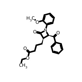 CCOC(=O)CCC[C@H]1C(=O)N(c2ccccc2OC)[C@H]1C(=O)c1ccccc1